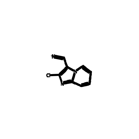 [N]=Cc1c(Cl)nc2ccccn12